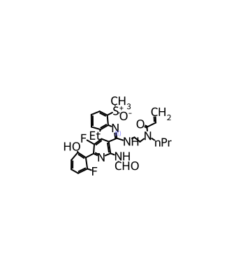 C=CC(=O)N(CCC)CCN/C(=N/c1c(CC)cccc1[S+](C)[O-])c1cc(F)c(-c2c(O)cccc2F)nc1NC=O